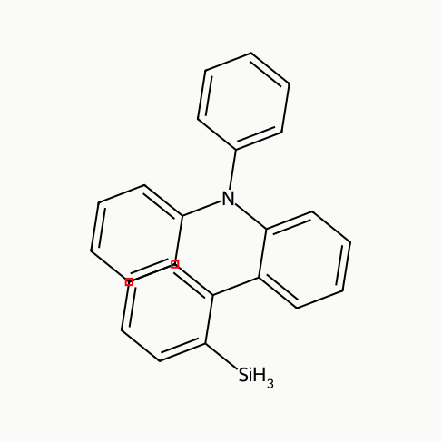 [SiH3]c1ccccc1-c1ccccc1N(c1ccccc1)c1ccccc1